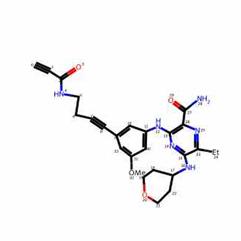 C#CC(=O)NCCC#Cc1cc(Nc2nc(NC3CCOCC3)c(CC)nc2C(N)=O)cc(OC)c1